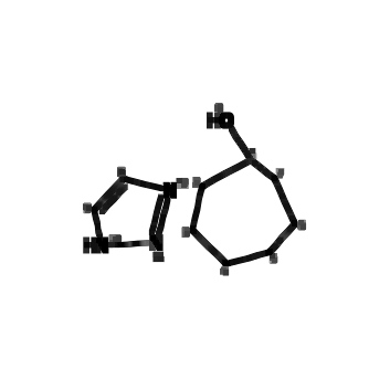 OC1CCCCCC1.c1c[nH]nn1